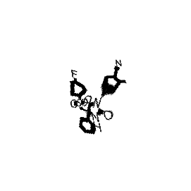 Cc1cc(N2C(=O)N[C@](CS(=O)(=O)c3ccc(F)cc3)(c3ccccc3)C2=O)ccc1C#N